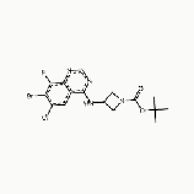 CC(C)(C)OC(=O)N1CC(Nc2ncnc3c(F)c(Br)c(Cl)cc23)C1